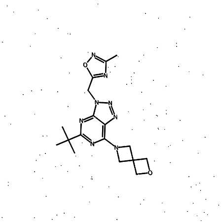 Cc1noc(Cn2nnc3c(N4CC5(COC5)C4)nc(C(C)(C)C)nc32)n1